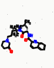 CC(C)C[C@H](NC(=O)c1ccc2ccccc2n1)C(=O)NC(C)(C)CCCN1CCCC(=O)C1